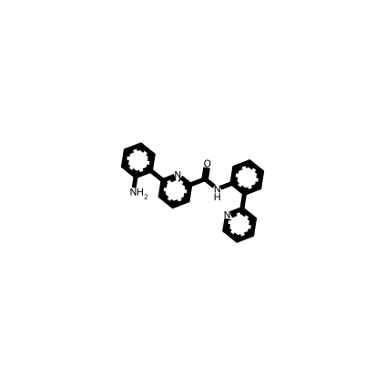 Nc1ccccc1-c1cccc(C(=O)Nc2ccccc2-c2ccccn2)n1